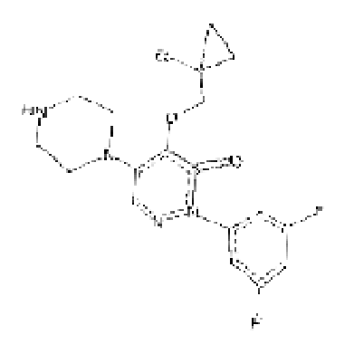 CCC1(COc2c(N3CCNCC3)cnn(-c3cc(F)cc(F)c3)c2=O)CC1